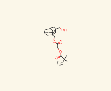 CC(C)(C(=O)OCC(=O)OCC12CC3CC(CC(CO)(C3)C1)C2)C(F)(F)F